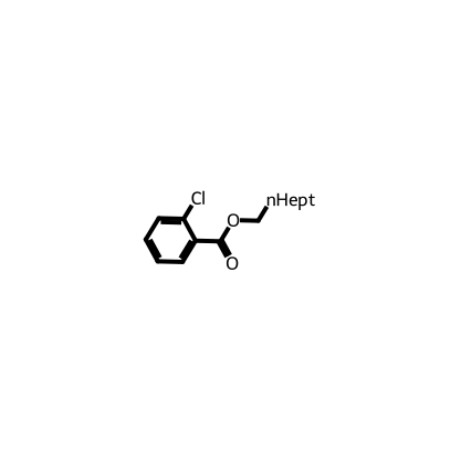 CCCCCCCCOC(=O)c1ccccc1Cl